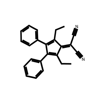 CCC1=C(c2ccccc2)C(c2ccccc2)=C(CC)C1=C(C#N)C#N